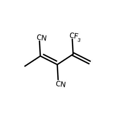 C=C(C(C#N)=C(C)C#N)C(F)(F)F